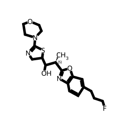 C[C@H](c1nc2ccc(CCCF)cc2o1)C(O)C1CN=C(N2CCOCC2)S1